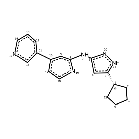 [CH]1CC[C@@H](c2cc(Nc3cc(-c4cccnc4)ccn3)n[nH]2)C1